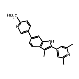 Cc1cc(-c2[nH]c3cc(-c4ccc(C(=O)O)nc4)ccc3c2C)cc(C)n1